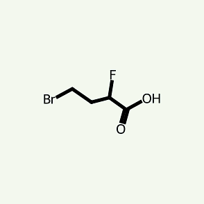 O=C(O)C(F)CCBr